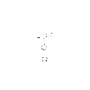 CCCOC(=O)N1C(C(=O)OCC)Cc2ccc(Oc3ccccc3)cc2C1C